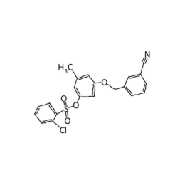 Cc1cc(OCc2cccc(C#N)c2)cc(OS(=O)(=O)c2ccccc2Cl)c1